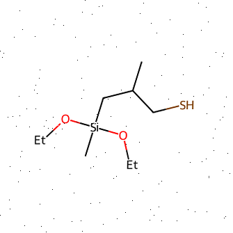 CCO[Si](C)(CC(C)CS)OCC